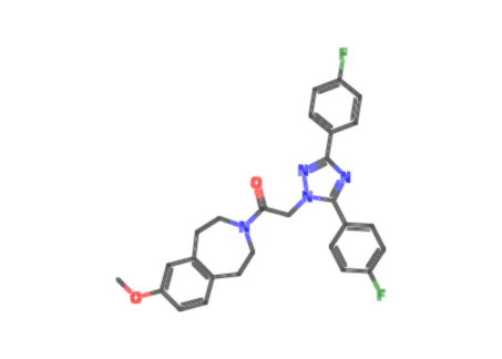 COc1ccc2c(c1)CCN(C(=O)Cn1nc(-c3ccc(F)cc3)nc1-c1ccc(F)cc1)CC2